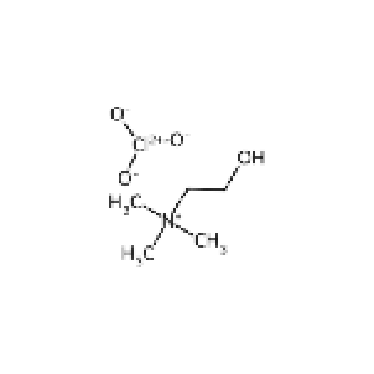 C[N+](C)(C)CCO.[O-][Cl+2]([O-])[O-]